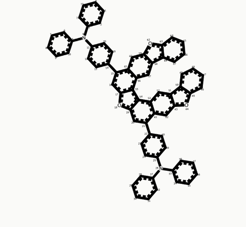 c1ccc(N(c2ccccc2)c2ccc(-c3cc4oc5cc(-c6ccc(N(c7ccccc7)c7ccccc7)cc6)c6cc7oc8ccccc8c7cc6c5c4c4cc5c(cc34)oc3ccccc35)cc2)cc1